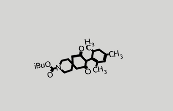 CC1=CC(C)=C(C2C(=O)CC3(CCN(C(=O)OCC(C)C)CC3)CC2=O)C(C)C1